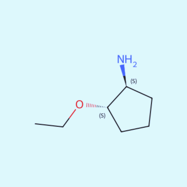 CCO[C@H]1CCC[C@@H]1N